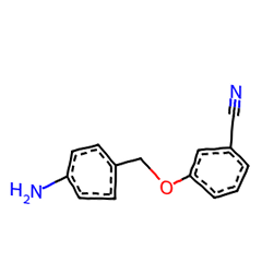 N#Cc1cccc(OCc2ccc(N)cc2)c1